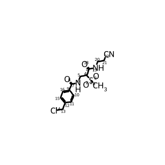 CS(=O)(=O)C(CNC(=O)c1ccc(CCl)cc1)C(=O)NCCC#N